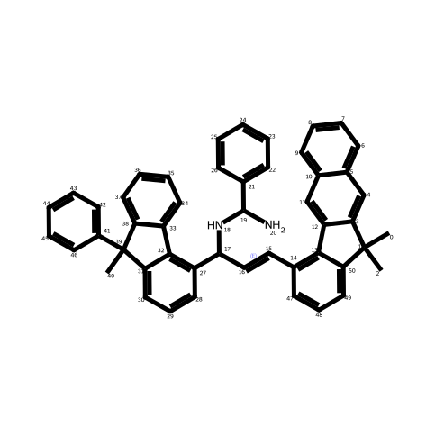 CC1(C)c2cc3ccccc3cc2-c2c(/C=C/C(NC(N)c3ccccc3)c3cccc4c3-c3ccccc3C4(C)c3ccccc3)cccc21